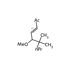 CCCC(C)(C)C(/C=C/C(C)=O)OC